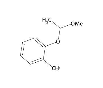 [CH]c1ccccc1OC(C)OC